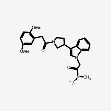 COc1ccc(OC)c(CC(=O)N2CCC(c3cn(CC(=O)N(C)C)c4ccccc34)C2)c1